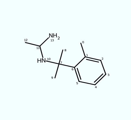 Cc1ccccc1C(C)(C)NC(C)N